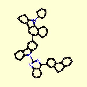 c1ccc(-n2c3ccccc3c3cc(-c4ccc5c(c4)c4ccccc4n5-c4nc(-c5ccc6c(ccc7ccccc76)c5)c5ccccc5n4)c4ccccc4c32)cc1